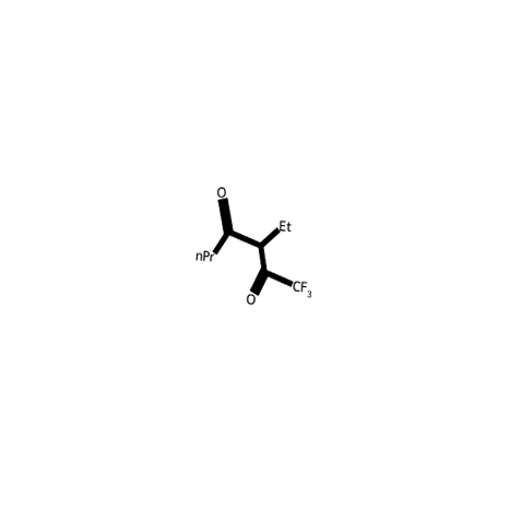 CCCC(=O)C(CC)C(=O)C(F)(F)F